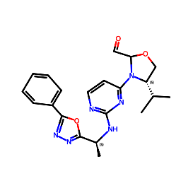 CC(C)[C@H]1COC(C=O)N1c1ccnc(N[C@@H](C)c2nnc(-c3ccccc3)o2)n1